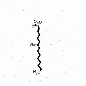 CCCCCCCCCCCC/C=C/S(=O)(=O)[O-].[Na+]